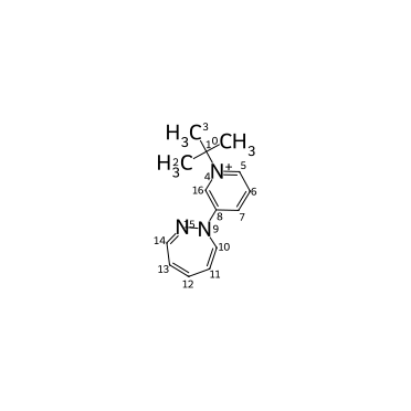 CC(C)(C)[n+]1cccc(N2C=CC=CC=N2)c1